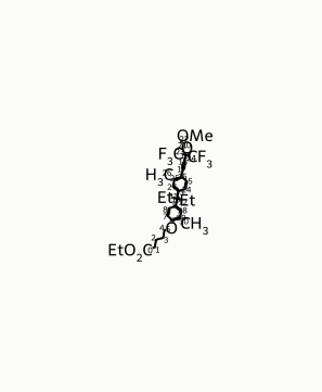 CCOC(=O)CCCCOc1ccc(C(CC)(CC)c2ccc(C#CC(OCOC)(C(F)(F)F)C(F)(F)F)c(C)c2)cc1C